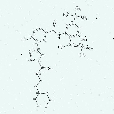 COc1c(NC(=O)c2ccc(C)c(-n3cc(C(=O)NCCN4CCCCC4)nn3)c2)cc(C(C)(C)C)cc1NS(C)(=O)=O